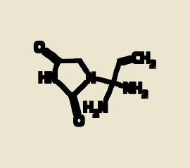 C=CC(N)(N)N1CC(=O)NC1=O